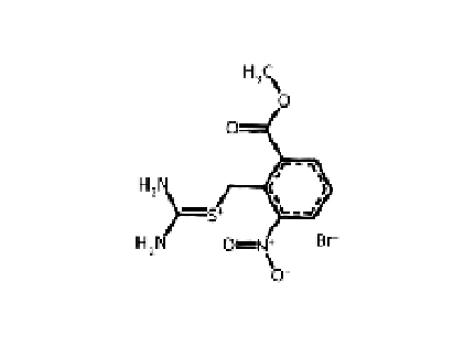 COC(=O)c1cccc([N+](=O)[O-])c1C[S+]=C(N)N.[Br-]